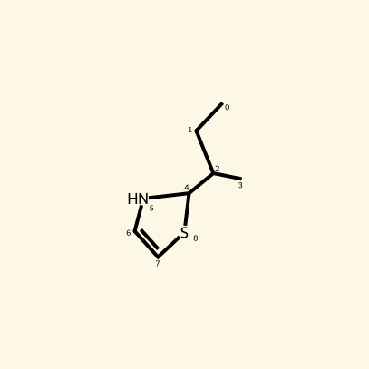 CCC(C)C1NC=CS1